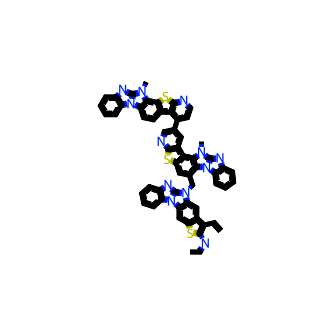 C=Cc1c(/N=C\C)sc2cc3c(cc12)n(Cc1cc2sc4ncc(-c5ccnc6sc7c(ccc8c7n(C)c7nc9ccccc9n87)c56)cc4c2c2c1n1c4ccccc4nc1n2C)c1nc2ccccc2n31